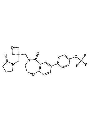 O=C1CCCN1CC1(CN2CCOc3ccc(-c4ccc(OC(F)(F)F)cc4)cc3C2=O)COC1